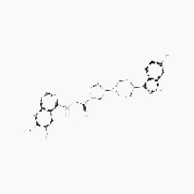 O=C(CNc1ncnc2cc(Cl)c(Cl)cc12)N1CCC(N2CCC(c3c[nH]c4cc(F)ccc34)CC2)C1